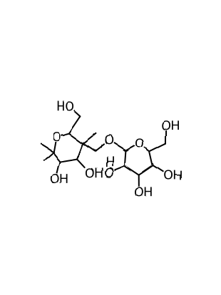 CC1(C)OC(CO)C(C)(COC2OC(CO)C(O)C(O)C2O)C(O)C1O